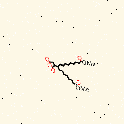 COC(=O)CCCCCC/C=C/C(CCCCCCCC(=O)OC)C1CC(=O)OC1=O